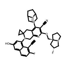 C#Cc1c(F)ccc2cc(O)cc(N3Cc4nc(OC[C@@]56CCCN5C[C@H](F)C6)c(C#N)c(N5CC6CCC(C5)N6)c4CC34CC4)c12